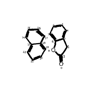 O=C1Cc2ccccc2O1.c1ccc2ccccc2c1